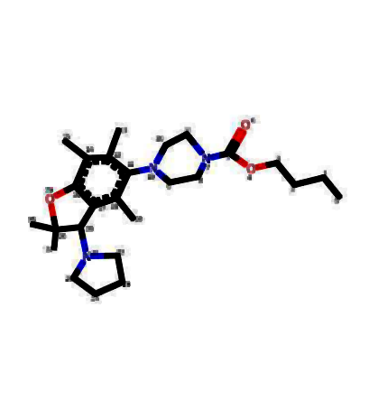 CCCCOC(=O)N1CCN(c2c(C)c(C)c3c(c2C)C(N2CCCC2)C(C)(C)O3)CC1